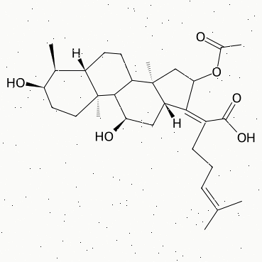 CC(=O)OC1C[C@]2(C)C3CC[C@H]4[C@H](C)[C@H](O)CC[C@]4(C)C3[C@H](O)C[C@H]2/C1=C(\CCC=C(C)C)C(=O)O